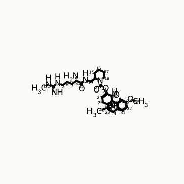 CNC(=N)NCCC[C@H](N)C(=O)NCC1CCCCN1C(=O)OC1=CC[C@@]2(O)C3Cc4ccc(OC)c5c4[C@@]2(CCN3C)[C@H]1O5